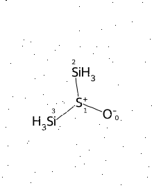 [O-][S+]([SiH3])[SiH3]